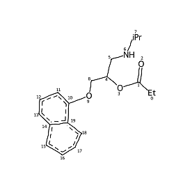 CCC(=O)OC(CNC(C)C)COc1cccc2ccccc12